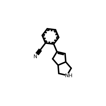 N#Cc1ccccc1C1=CC2CNCC2C1